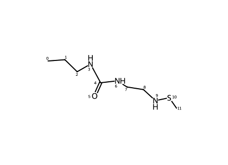 CCCNC(=O)NCCNSC